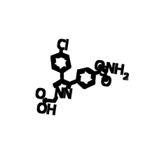 NS(=O)(=O)c1ccc(-c2nn(CC(=O)O)cc2-c2ccc(Cl)cc2)cc1